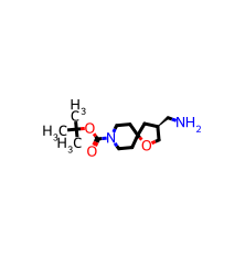 CC(C)(C)OC(=O)N1CCC2(CC1)C[C@@H](CN)CO2